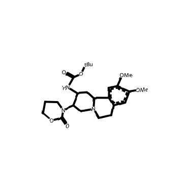 COc1cc2c(cc1OC)C1CC(NC(=O)OC(C)(C)C)C(N3CCCOC3=O)CN1CC2